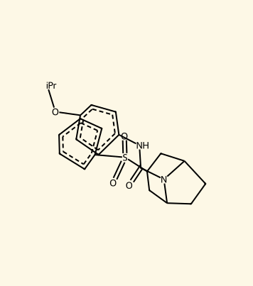 CC(C)Oc1ccc(NC(=O)N2C3CCC2CC(S(=O)(=O)c2ccccc2)C3)cc1